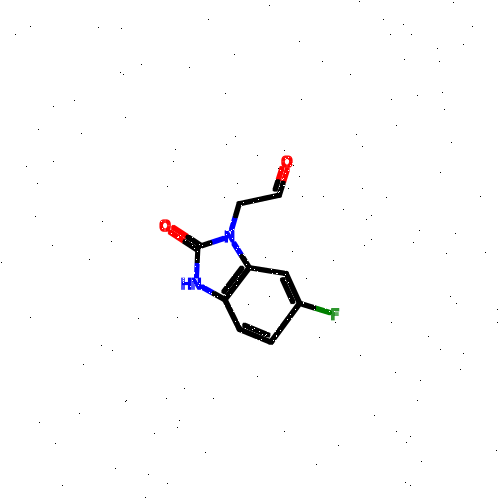 O=CCn1c(=O)[nH]c2ccc(F)cc21